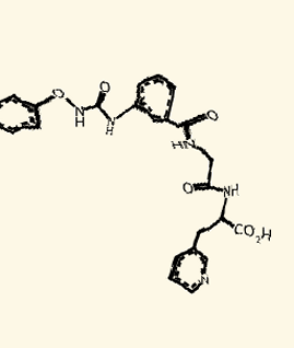 O=C(CNC(=O)c1cccc(NC(=O)NOc2ccccc2)c1)NC(Cc1cccnc1)C(=O)O